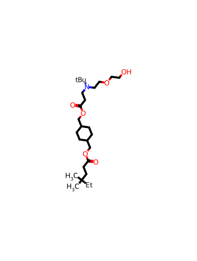 CCC(C)(C)CCC(=O)OCC1CCC(COC(=O)CCN(CCOCCO)C(C)(C)C)CC1